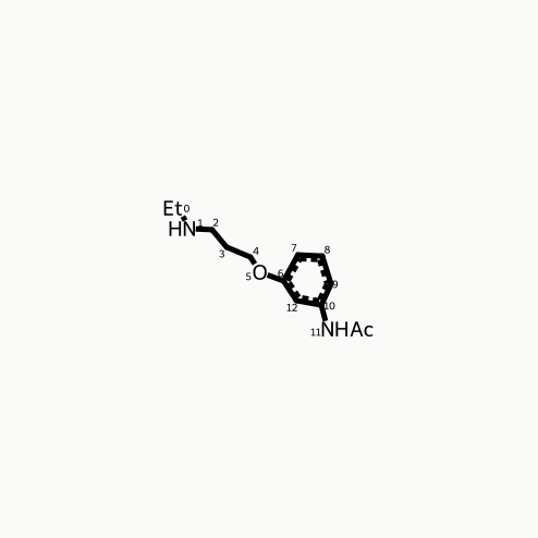 CCNCCCOc1cccc(NC(C)=O)c1